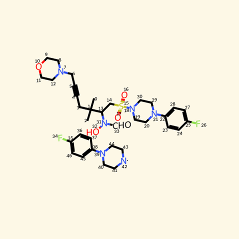 CC(C)(CC#CCN1CCOCC1)C(CS(=O)(=O)N1CCN(c2ccc(F)cc2)CC1)N(O)C=O.Fc1ccc(N2CC[N]CC2)cc1